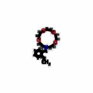 C=Cc1ccccc1CN1CCOCCOCCOCCOCC1